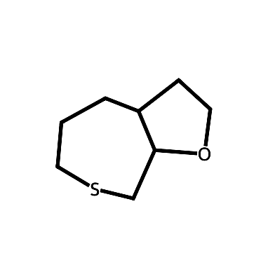 C1CSCC2OCCC2C1